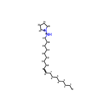 CCCCCCCC/C=C\CCCCCCCCNN1CCCC1